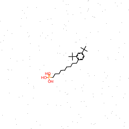 CC(C)(C)c1ccc(CCCCCCCCC[PH](O)(O)O)c(C(C)(C)C)c1